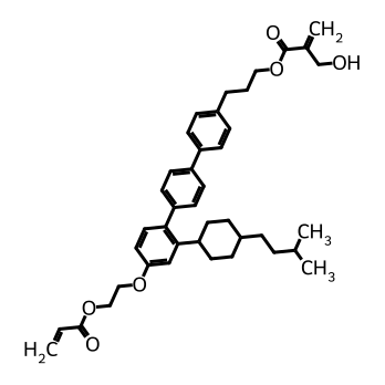 C=CC(=O)OCCOc1ccc(-c2ccc(-c3ccc(CCCOC(=O)C(=C)CO)cc3)cc2)c(C2CCC(CCC(C)C)CC2)c1